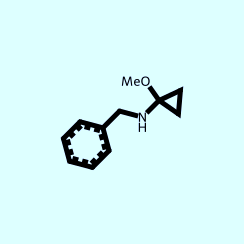 COC1(NCc2ccccc2)CC1